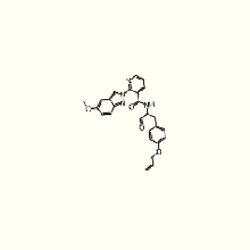 C=CCOc1ccc(C[C@@H](C=O)NC(=O)c2cccnc2-n2cc3cc(OC)ccc3n2)cc1